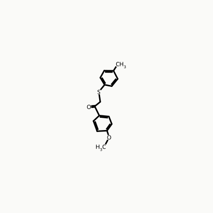 COc1ccc(C(=O)CSc2ccc(C)cc2)cc1